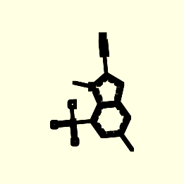 Cc1cc(S(=O)(=O)Cl)c2c(c1)cc(C#N)n2C